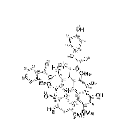 COc1c(CC(C)OC(=O)Oc2ccc(O)cc2)c2c3c(CC(C)OC(=O)c4ccccc4)c(OC)c(=O)c4c(O)cc(OC)c(c5c(OC)cc(O)c(c1=O)c52)c43